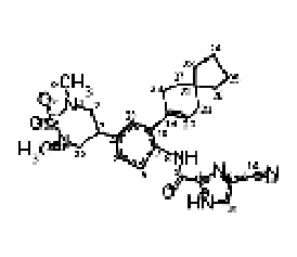 CN1CC(c2ccc(NC(=O)c3nc(C#N)c[nH]3)c(C3=CCC4(CCCC4)CC3)c2)CN(C)S1(=O)=O